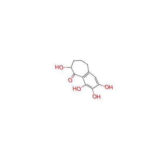 O=C1c2c(cc(O)c(O)c2O)CCCC1O